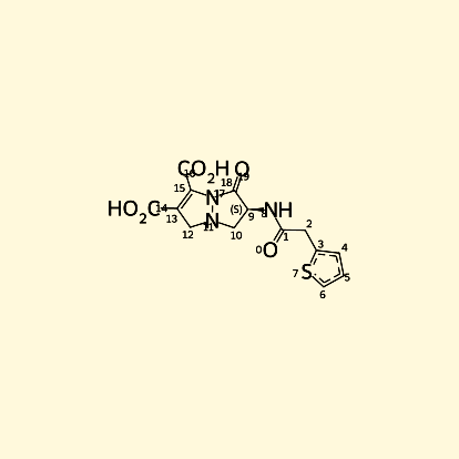 O=C(Cc1cccs1)N[C@H]1CN2CC(C(=O)O)=C(C(=O)O)N2C1=O